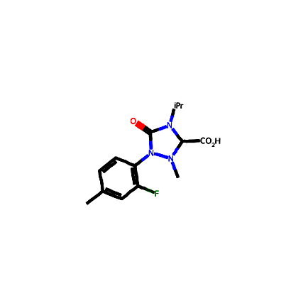 Cc1ccc(N2C(=O)N(C(C)C)C(C(=O)O)N2C)c(F)c1